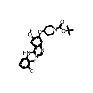 COc1cc2c(Nc3cccc(Cl)c3F)ncnc2cc1OC1CCN(C(=O)OC(C)(C)C)CC1